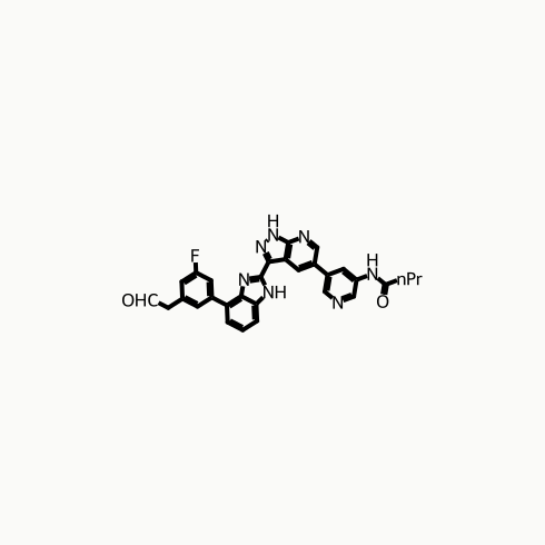 CCCC(=O)Nc1cncc(-c2cnc3[nH]nc(-c4nc5c(-c6cc(F)cc(CC=O)c6)cccc5[nH]4)c3c2)c1